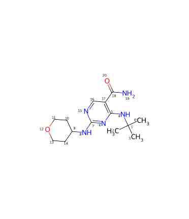 CC(C)(C)Nc1nc(NC2CCOCC2)ncc1C(N)=O